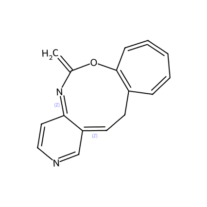 C=C1/N=c2/ccnc/c2=C/CC2=C(C=C=CC=C2)O1